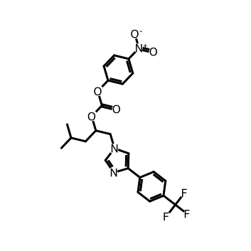 CC(C)CC(Cn1cnc(-c2ccc(C(F)(F)F)cc2)c1)OC(=O)Oc1ccc([N+](=O)[O-])cc1